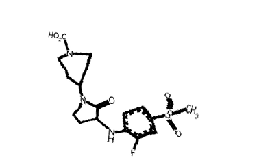 CS(=O)(=O)c1ccc(NC2CCN(C3CCN(C(=O)O)CC3)C2=O)c(F)c1